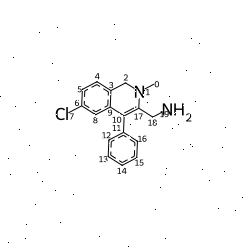 CN1Cc2ccc(Cl)cc2C(c2ccccc2)=C1CN